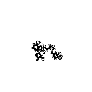 Cc1ccc(NC(=S)N(CCc2cncn2Cc2ccc3c(c2)OCO3)Cc2ccccc2C(F)(F)F)cc1Cl